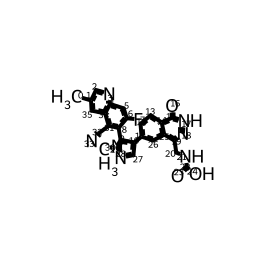 Cc1cnc2cc(F)c(-c3c(-c4ccc5c(=O)[nH]nc(CNC(=O)O)c5c4)cnn3C)c(C#N)c2c1